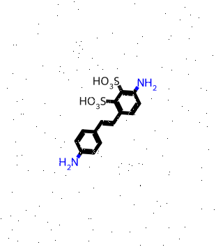 Nc1ccc(C=Cc2ccc(N)c(S(=O)(=O)O)c2S(=O)(=O)O)cc1